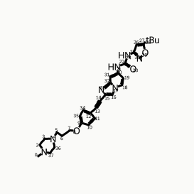 CN1CCN(CCCOc2ccc(C#Cc3cn4ccc(NC(=O)Nc5cc(C(C)(C)C)on5)cc4n3)cc2)CC1